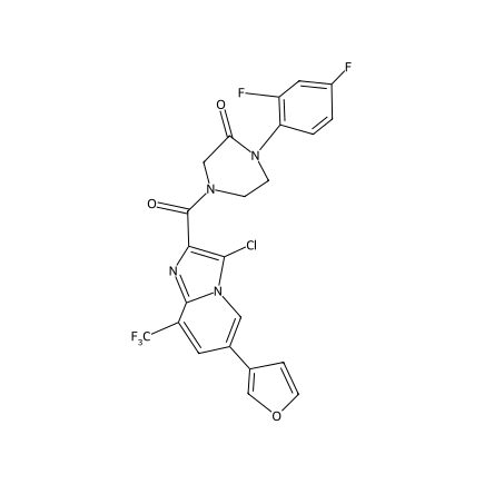 O=C(c1nc2c(C(F)(F)F)cc(-c3ccoc3)cn2c1Cl)N1CCN(c2ccc(F)cc2F)C(=O)C1